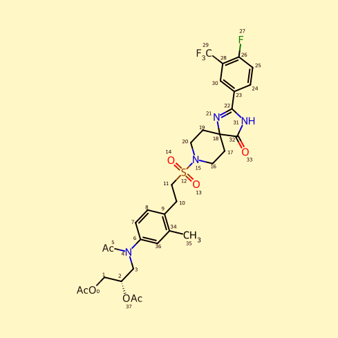 CC(=O)OC[C@H](CN(C(C)=O)c1ccc(CCS(=O)(=O)N2CCC3(CC2)N=C(c2ccc(F)c(C(F)(F)F)c2)NC3=O)c(C)c1)OC(C)=O